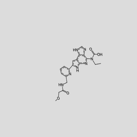 CCN(C(=O)O)c1nc2[nH]c(-c3cccc(CNC(=O)COC)n3)cc2c2[nH]cnc12